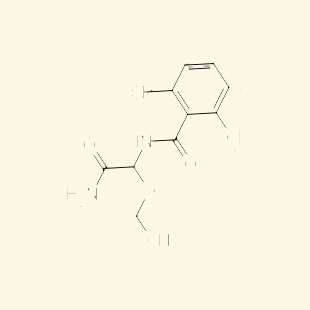 CCOC(NC(=O)c1c(Cl)cccc1Cl)C(N)=O